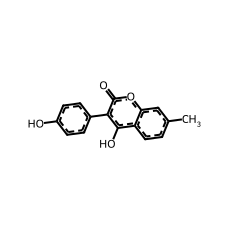 Cc1ccc2c(O)c(-c3ccc(O)cc3)c(=O)oc2c1